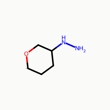 NNC1CC[CH]OC1